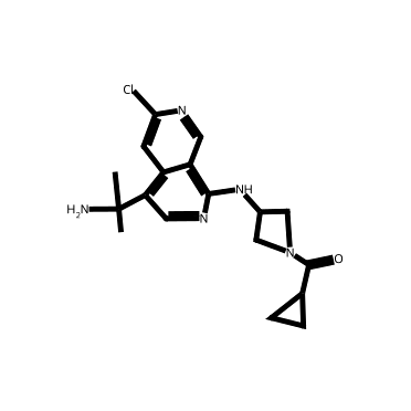 CC(C)(N)c1cnc(NC2CN(C(=O)C3CC3)C2)c2cnc(Cl)cc12